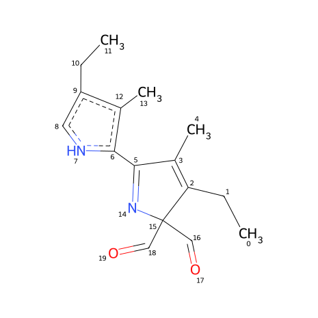 CCC1=C(C)C(c2[nH]cc(CC)c2C)=NC1(C=O)C=O